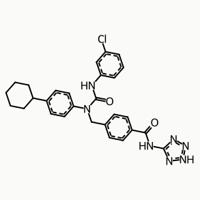 O=C(Nc1nn[nH]n1)c1ccc(CN(C(=O)Nc2cccc(Cl)c2)c2ccc(C3CCCCC3)cc2)cc1